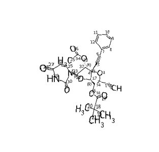 C#CCO[C@]1(C#Cc2ccccc2)[C@@H](COC(=O)C(C)(C)C)O[C@@H](n2ccc(=O)[nH]c2=O)[C@@H]1OC(C)=O